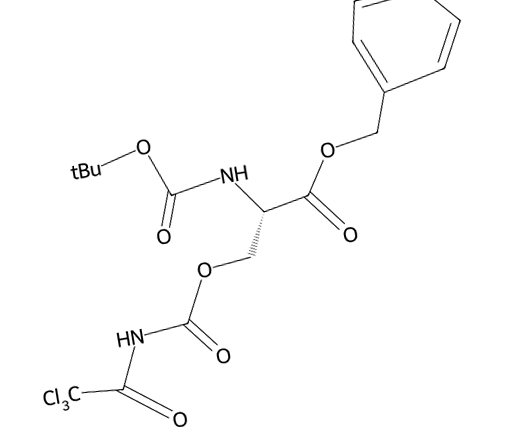 CC(C)(C)OC(=O)N[C@@H](COC(=O)NC(=O)C(Cl)(Cl)Cl)C(=O)OCc1ccccc1